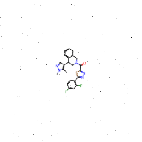 Cc1c(C2CN(C(=O)c3nnc(-c4ccc(F)cc4F)s3)Cc3ccccc32)cnn1C